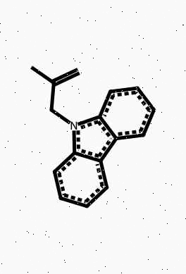 C=C(C)Cn1c2ccccc2c2ccccc21